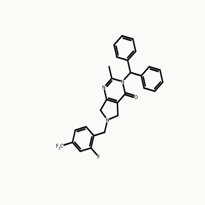 Cc1nc2c(c(=O)n1C(c1ccccc1)c1ccccc1)CN(Cc1ccc(C(F)(F)F)cc1F)C2